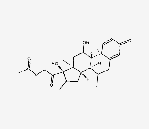 CC(=O)OCC(=O)[C@@]1(O)C(C)C[C@H]2[C@@H]3C(I)CC4=CC(=O)C=C[C@]4(C)[C@H]3C(O)C[C@@]21C